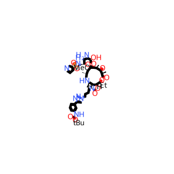 CC[C@H]1OC(=O)[C@H](C)C(=O)[C@H](C)[C@@H](O[C@@H]2O[C@H](CNS(=O)(=O)c3cccnc3)CC(N)C2O)[C@](C)(OC)C[C@@H](C)CN[C@H](C)[C@@H]2[C@@H]1OC(=O)N2CCCCn1cc(-c2cccc(NC(=O)OC(C)(C)C)c2)nn1